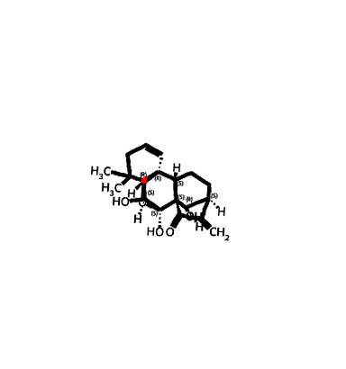 C=C1C(=O)[C@]23[C@H](O)[C@H]1CC[C@H]2[C@]12C=CCC(C)(C)[C@H]1[C@H](O)[C@@]3(O)OC2